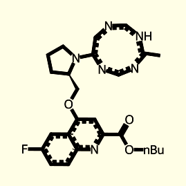 CCCCOC(=O)c1cc(OC[C@H]2CCCN2c2cnc[nH]c(C)ncn2)c2cc(F)ccc2n1